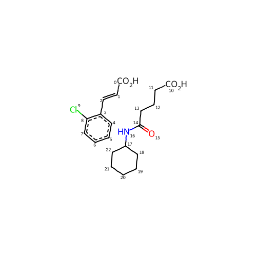 O=C(O)C=Cc1ccccc1Cl.O=C(O)CCCC(=O)NC1CCCCC1